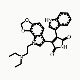 CCN(CC)CCn1cc(C2=C(c3c[nH]c4ccccc34)C(=O)NC2=O)c2ccc3c(c21)OCO3